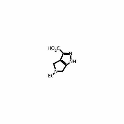 CCN1Cc2[nH]nc(C(=O)O)c2C1